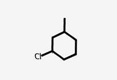 CC1CCC[C](Cl)C1